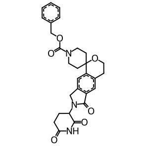 O=C1CCC(N2Cc3cc4c(cc3C2=O)CCOC42CCN(C(=O)OCc3ccccc3)CC2)C(=O)N1